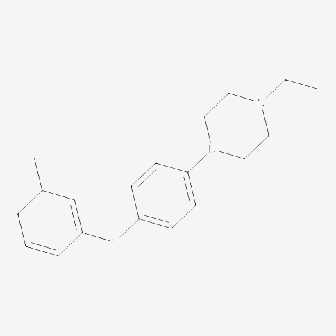 CCN1CCN(c2ccc(SC3=CC(C)CC=C3)cc2)CC1